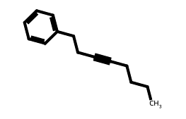 CCCCC#CCCc1[c]cccc1